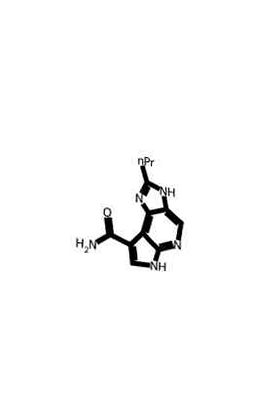 CCCc1nc2c(cnc3[nH]cc(C(N)=O)c32)[nH]1